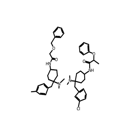 CC(Oc1ccccc1)C(=O)NC1CCC(Cc2cccc(Cl)c2)(N(C)C)CC1.Cc1ccc(CC2(N(C)C)CCC(NC(=O)COCc3ccccc3)CC2)cc1